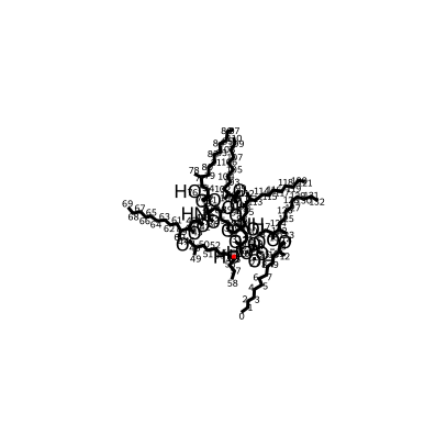 CCCCCCCCCCCC(C)C(=O)OC(CC(=O)OC1C(O[P+]([O-])(O)O)C(CO)OC(OCC2OCC(C)(NC(=O)CC(OC(=O)C(C)CCCCCCCCC)C(C)CCCCCCCCC)C(OC(=O)CC(O)C(C)CCCCCCCCC)C2O)C1(C)NC(=O)CC(OC(=O)C(C)CCCCCCCCC)C(C)CCCCCCCCC)C(C)CCCCCCCCC